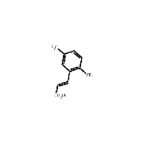 CCOC(=O)C=Cc1cc(C(F)(F)F)ccc1C(F)(F)F